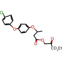 CCOC(=O)C(=O)COC(=O)CC(C)Oc1ccc(Oc2ccc(Cl)cc2)cc1